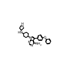 Nc1ncnc2c1c(-c1ccc(Oc3ccccc3)cc1)cn2C1CCC(N[C@@H]2CCNC2)CC1